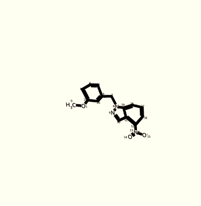 COc1cccc(Cn2ncc3c([N+](=O)[O-])cccc32)c1